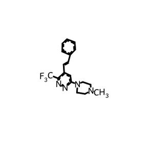 CN1CCN(c2cc(C=Cc3ccccc3)c(C(F)(F)F)nn2)CC1